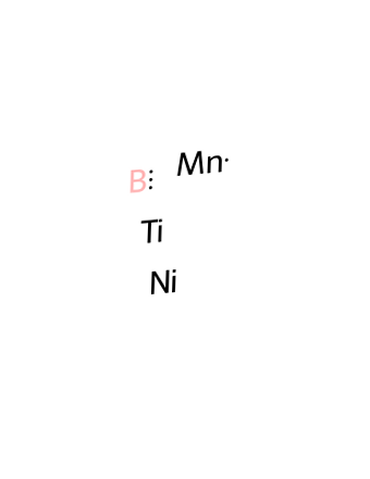 [B].[Mn].[Ni].[Ti]